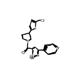 O=C(c1cc(-c2ccncc2)n[nH]1)N1CCC(c2ccc(Cl)s2)C1